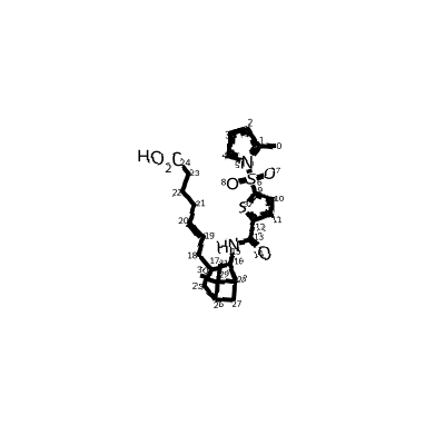 Cc1cccn1S(=O)(=O)c1ccc(C(=O)NC2C(C/C=C/CCCC(=O)O)CC3CC2C3(C)C)s1